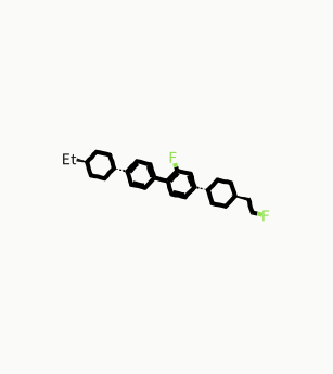 CC[C@H]1CC[C@H](c2ccc(-c3ccc([C@H]4CC[C@H](CCF)CC4)cc3F)cc2)CC1